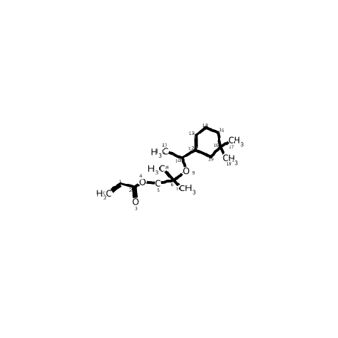 C=CC(=O)OCC(C)(C)OC(C)C1CCCC(C)(C)C1